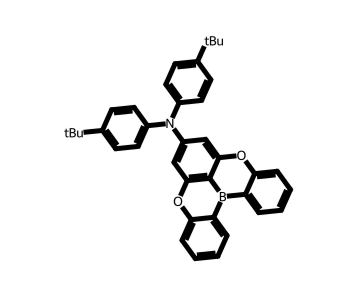 CC(C)(C)c1ccc(N(c2ccc(C(C)(C)C)cc2)c2cc3c4c(c2)Oc2ccccc2B4c2ccccc2O3)cc1